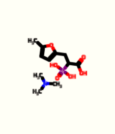 CN(C)C.Cc1ccc(CC(C(=O)O)P(=O)(O)O)o1